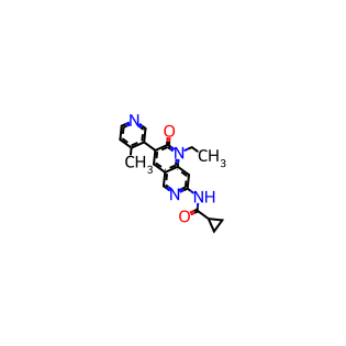 CCn1c(=O)c(-c2cnccc2C)cc2cnc(NC(=O)C3CC3)cc21